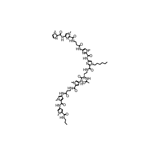 CCCCCCn1cc(NC(=O)c2nc(NC(=O)CCNC(=O)c3nc(NC(=O)c4nccn4C)cn3C)cn2C)nc1C(=O)NCC[C@@H](NC(C)=O)C(=O)Nc1cc(C(=O)NCCC(=O)Nc2cc(C(=O)Nc3cc(C(=O)NCCC)n(C)c3)n(C)c2)n(C)c1